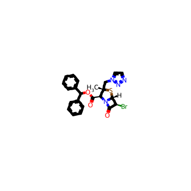 C[C@@]1(Cn2ccnn2)S[C@@H]2[C@@H](Br)C(=O)N2[C@H]1C(=O)OC(c1ccccc1)c1ccccc1